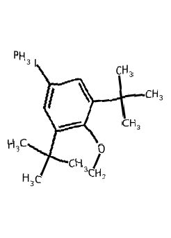 COc1c(C(C)(C)C)cc(I)cc1C(C)(C)C.P